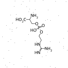 N=C(N)NCCOP(=O)(O)OCC(N)C(=O)O